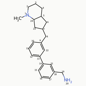 CN1CCCC2CC(Cc3cccc(-c4cccc(CN)c4)c3)CC21